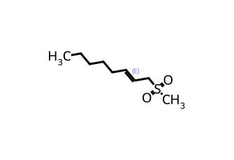 CCCCC/C=C/CS(C)(=O)=O